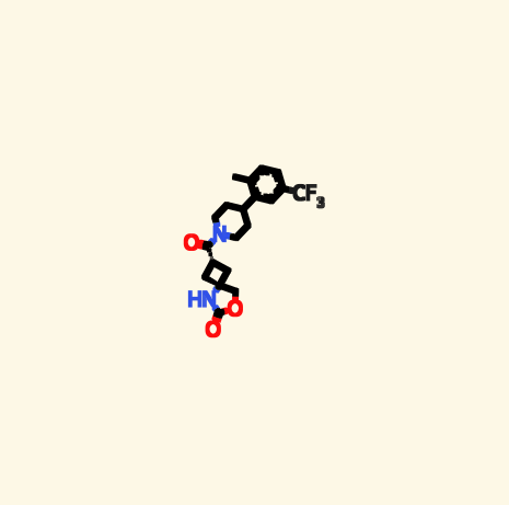 Cc1ccc(C(F)(F)F)cc1C1CCN(C(=O)[C@H]2C[C@]3(COC(=O)N3)C2)CC1